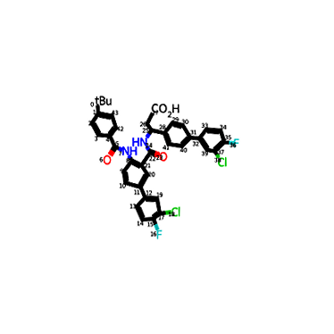 CC(C)(C)c1ccc(C(=O)Nc2ccc(-c3ccc(F)c(Cl)c3)cc2C(=O)NC(CC(=O)O)c2ccc(-c3ccc(F)c(Cl)c3)cc2)cc1